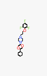 Fc1cc(F)c(OCCCN2CCN(C3=COC(C4=CC=CCC4)=CO3)CC2)c(F)c1